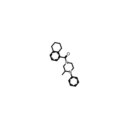 CC1CN(C(=O)c2cccc3c2CCCC3)CCN1c1ccccc1